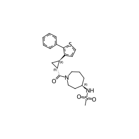 CS(=O)(=O)N[C@@H]1CCCN(C(=O)[C@@H]2C[C@H]2c2ccsc2-c2ccccc2)CC1